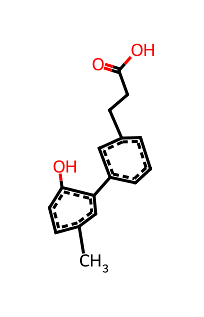 Cc1ccc(O)c(-c2cccc(CCC(=O)O)c2)c1